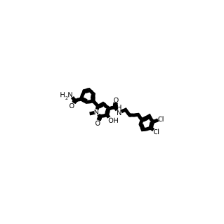 Cn1c(-c2cccc(C(N)=O)c2)cc(C(=O)NCCCc2ccc(Cl)c(Cl)c2)c(O)c1=O